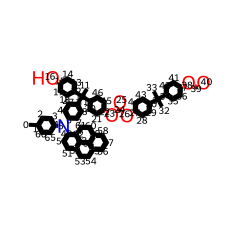 Cc1ccc(N(c2ccc(C(C)(c3ccc(O)cc3)c3ccc(OC(=O)Oc4ccc(C(C)(C)c5ccc(OC=O)cc5)cc4)cc3)cc2)c2ccc3ccc4cccc5ccc2c3c45)cc1